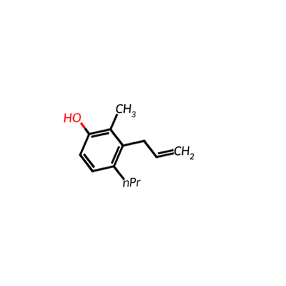 C=CCc1c(CCC)ccc(O)c1C